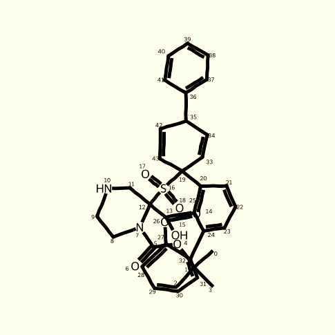 CC(C)(C)OC(=O)N1CCNCC1(C(=O)O)S(=O)(=O)C1(c2cccc3c2oc2ccccc23)C=CC(c2ccccc2)C=C1